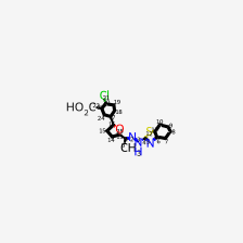 C/C(=N\Nc1nc2ccccc2s1)c1ccc(-c2ccc(Cl)c(C(=O)O)c2)o1